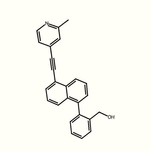 Cc1cc(C#Cc2cccc3c(-c4ccccc4CO)cccc23)ccn1